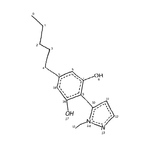 CCCCCc1cc(O)c(-c2ccnn2C)c(O)c1